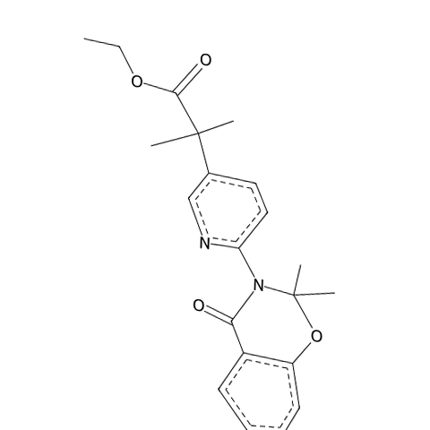 CCOC(=O)C(C)(C)c1ccc(N2C(=O)c3ccccc3OC2(C)C)nc1